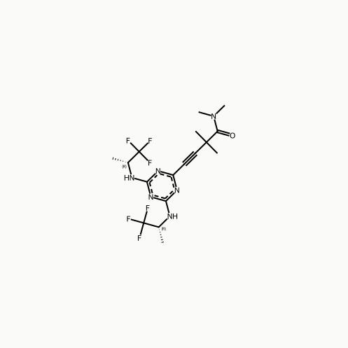 C[C@@H](Nc1nc(C#CC(C)(C)C(=O)N(C)C)nc(N[C@H](C)C(F)(F)F)n1)C(F)(F)F